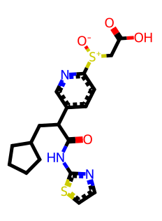 O=C(O)C[S+]([O-])c1ccc(C(CC2CCCC2)C(=O)Nc2nccs2)cn1